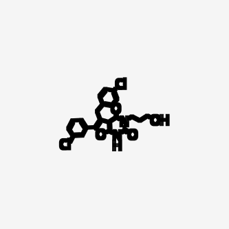 O=c1[nH]c2oc(-c3cccc(Cl)c3)c(Cc3ccc(Cl)cc3)c2c(=O)n1CCCO